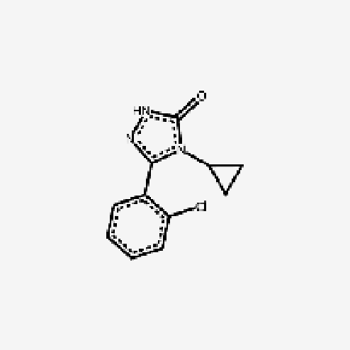 O=c1[nH]nc(-c2ccccc2Cl)n1C1CC1